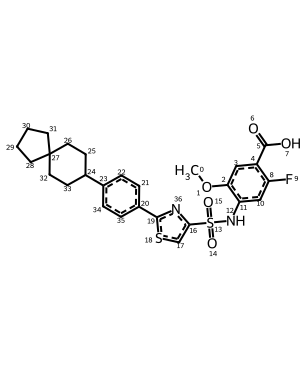 COc1cc(C(=O)O)c(F)cc1NS(=O)(=O)c1csc(-c2ccc(C3CCC4(CCCC4)CC3)cc2)n1